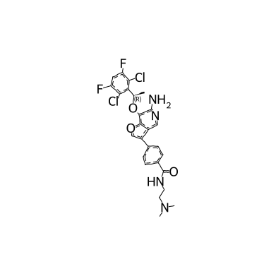 C[C@@H](Oc1c(N)ncc2c(-c3ccc(C(=O)NCCN(C)C)cc3)coc12)c1c(Cl)c(F)cc(F)c1Cl